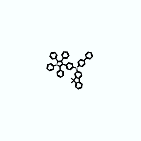 CC1(C)c2ccccc2-c2ccc(N(c3ccc(-c4ccccc4)cc3)c3ccc(-c4c(-c5ccccc5)c(-c5ccccc5)n(-c5ccccc5)c4-c4ccccc4)cc3)cc21